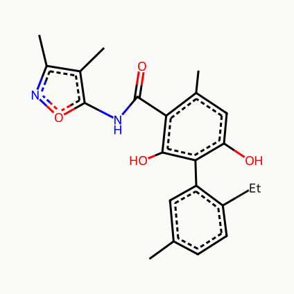 CCc1ccc(C)cc1-c1c(O)cc(C)c(C(=O)Nc2onc(C)c2C)c1O